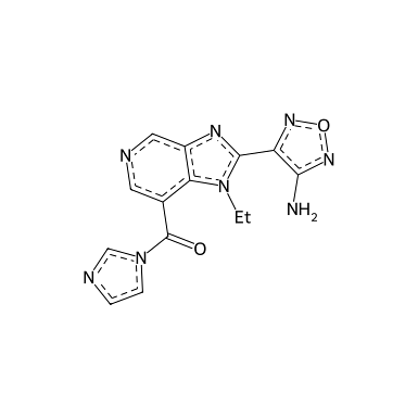 CCn1c(-c2nonc2N)nc2cncc(C(=O)n3ccnc3)c21